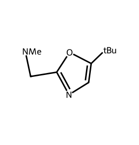 CNCc1ncc(C(C)(C)C)o1